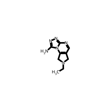 CCN1Cc2cnc3nnc(N)n3c2C1